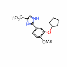 COc1ccc(-c2nc(C(=O)O)c[nH]2)cc1OC1CCCC1